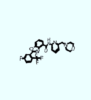 O=C(Nc1cccc(CN2CCOCC2)n1)c1cccc2oc(-c3cc(F)ccc3C(F)(F)F)nc12